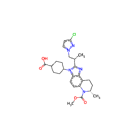 COC(=O)N1c2ccc3c(nc(C(C)Cn4ccc(Cl)n4)n3C3CCC(C(=O)O)CC3)c2CC[C@@H]1C